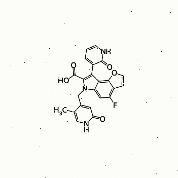 Cc1c[nH]c(=O)cc1Cn1c(C(=O)O)c(-c2ccc[nH]c2=O)c2c3occc3c(F)cc21